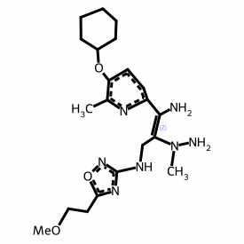 COCCc1nc(NC/C(=C(/N)c2ccc(OC3CCCCC3)c(C)n2)N(C)N)no1